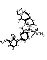 CCn1ccc2c(c1=O)[C@@H](Cc1cccc(-c3cccn(C)c3=O)c1)[C@@H](NS(C)(=O)=O)CC2